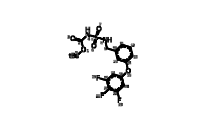 CC(C)(C)OC(=O)NS(=O)(=O)NCc1cccc(Oc2cc(F)c(F)c(F)c2)c1